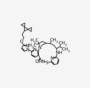 CC(C)C1CC(C)C2CN(c3nc(-n4ccc(OCCC5C6(CC6)C56CC6)n4)ccc3C(=O)NSc3cccc(n3)N1)C(C)(C)C2